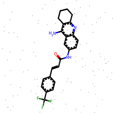 Nc1c2c(nc3ccc(NC(=O)C=Cc4ccc(C(F)(F)F)cc4)cc13)CCCC2